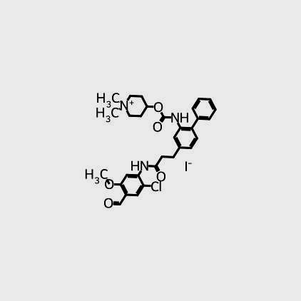 COc1cc(NC(=O)CCc2ccc(-c3ccccc3)c(NC(=O)OC3CC[N+](C)(C)CC3)c2)c(Cl)cc1C=O.[I-]